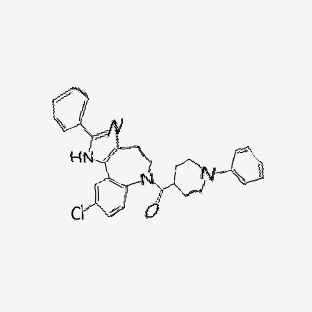 O=C(C1CCN(c2ccccc2)CC1)N1CCc2nc(-c3ccccc3)[nH]c2-c2cc(Cl)ccc21